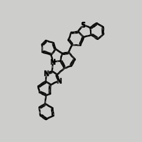 c1ccc(-c2ccc3nc4c(nc3c2)c2ccc(-c3ccc5sc6ccccc6c5c3)c3c5ccccc5n4c23)cc1